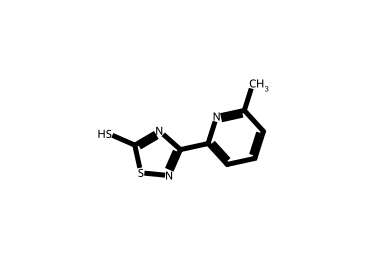 Cc1cccc(-c2nsc(S)n2)n1